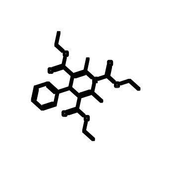 CCOC(=O)C1=C(C)N(C(=O)OCC)C(C)=C(C(=O)OCC)C1c1ccccc1